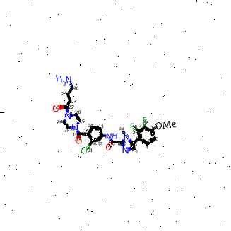 COc1ccc(-c2cnc(C(=O)Nc3ccc(C(=O)N4CCN(C(=O)CCCN)CC4)c(Cl)c3)n2C)c(F)c1F